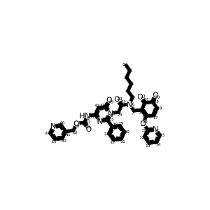 CCCCCCN(CC1=C(Oc2ccccn2)C=CC(=O)C1=O)C(=O)Cn1c(-c2ccccc2)nc(NC(=O)OCc2cccnc2)cc1=O